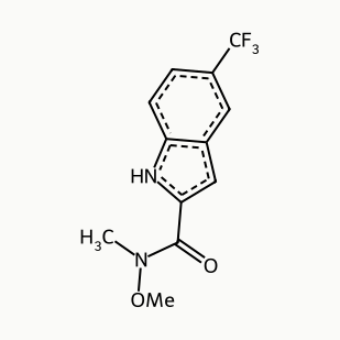 CON(C)C(=O)c1cc2cc(C(F)(F)F)ccc2[nH]1